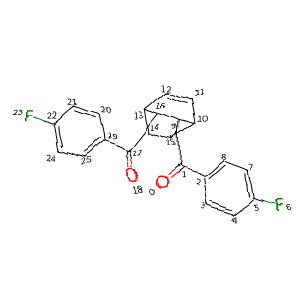 O=C(c1ccc(F)cc1)C1C2C=CC(CC2)C1C(=O)c1ccc(F)cc1